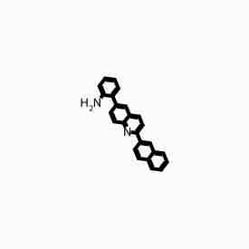 Nc1ccccc1-c1ccc2nc(-c3ccc4ccccc4c3)ccc2c1